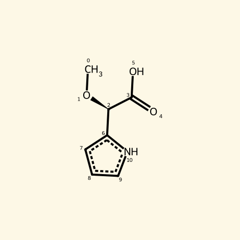 CO[C@@H](C(=O)O)c1ccc[nH]1